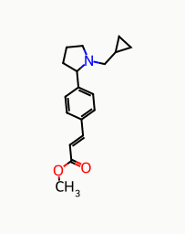 COC(=O)C=Cc1ccc(C2CCCN2CC2CC2)cc1